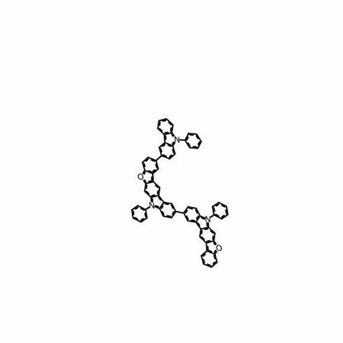 c1ccc(-n2c3ccccc3c3cc(-c4ccc5oc6cc7c(cc6c5c4)c4cc(-c5ccc6c(c5)c5cc8c(cc5n6-c5ccccc5)oc5ccccc58)ccc4n7-c4ccccc4)ccc32)cc1